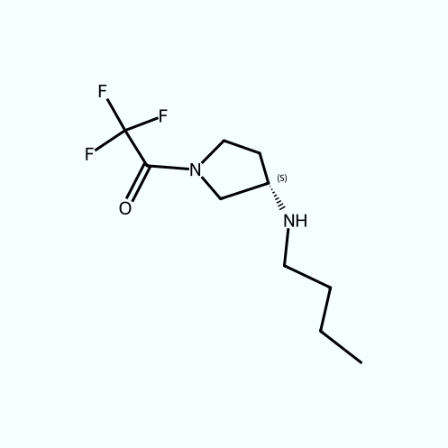 CCCCN[C@H]1CCN(C(=O)C(F)(F)F)C1